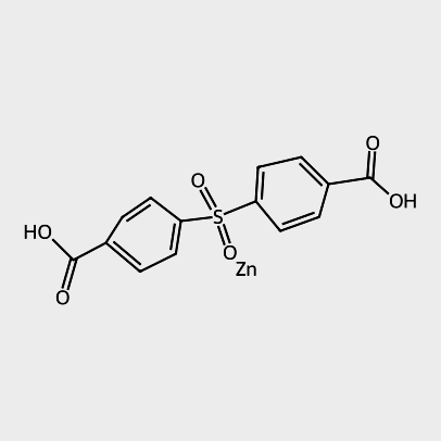 O=C(O)c1ccc(S(=O)(=O)c2ccc(C(=O)O)cc2)cc1.[Zn]